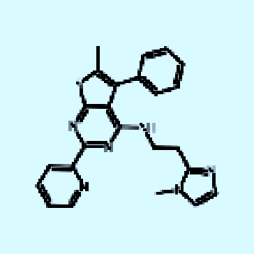 Cc1sc2nc(-c3ccccn3)nc(NCCc3nccn3C)c2c1-c1ccccc1